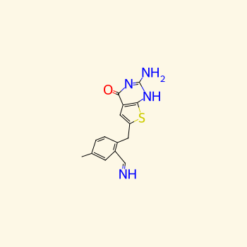 Cc1ccc(Cc2cc3c(=O)nc(N)[nH]c3s2)c(C=N)c1